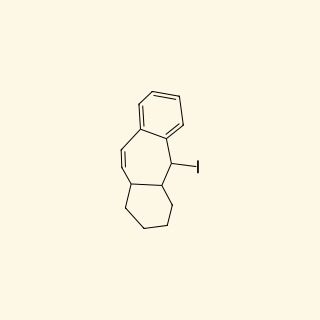 IC1c2ccccc2C=CC2CCCCC21